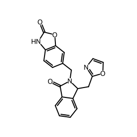 O=C1c2ccccc2C(Cc2ncco2)N1Cc1ccc2[nH]c(=O)oc2c1